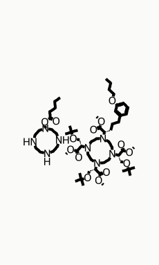 CCCCC(=O)ON1CCNCCNCCNCC1.CCCCOc1cccc(CCC[C@@H](C(=O)OC)N2CCN([C@@H](COC(C)(C)C)C(=O)OC)CCN([C@@H](COC(C)(C)C)C(=O)OC)CCN([C@@H](COC(C)(C)C)C(=O)OC)CC2)c1